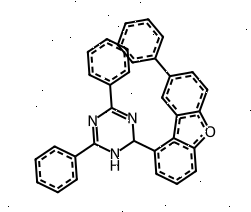 c1ccc(C2=NC(c3cccc4oc5ccc(-c6ccccc6)cc5c34)NC(c3ccccc3)=N2)cc1